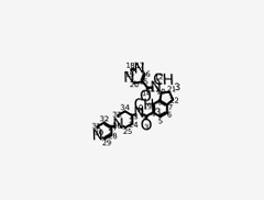 CN(C(=O)c1ccc2c(c1)C(N(C)C(=O)c1cncnc1)CC2)C1CCN(c2ccncc2)CC1